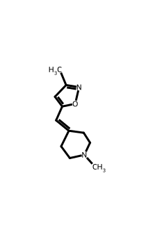 Cc1cc(C=C2CCN(C)CC2)on1